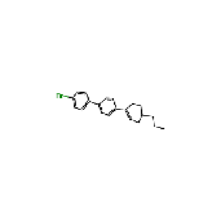 CCCC1CC=C(c2ccc(-c3ccc(Br)cc3)cc2)CC1